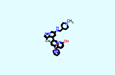 CN1CCC(CNc2cc(-c3ccc(N4CC5CC(C4)N5Cc4ccc(O)nc4)nc3)c3c(C#N)cnn3c2)CC1